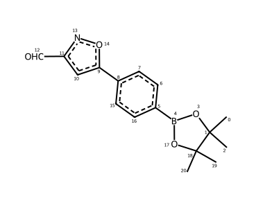 CC1(C)OB(c2ccc(-c3cc(C=O)no3)cc2)OC1(C)C